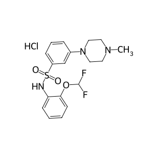 CN1CCN(c2cccc(S(=O)(=O)Nc3ccccc3OC(F)F)c2)CC1.Cl